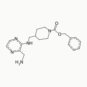 NCc1nccnc1NCC1CCN(C(=O)OCc2ccccc2)CC1